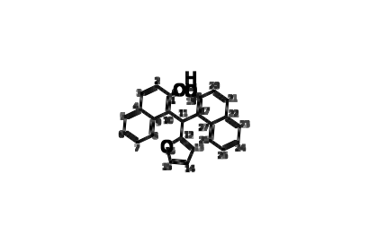 Oc1ccc2ccccc2c1C(c1ccco1)c1c(O)ccc2ccccc12